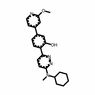 COc1cc(-c2ccc(-c3ccc(N(C)C4CCCCC4)nn3)c(O)c2)ccn1